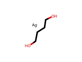 OCCCCO.[Ag]